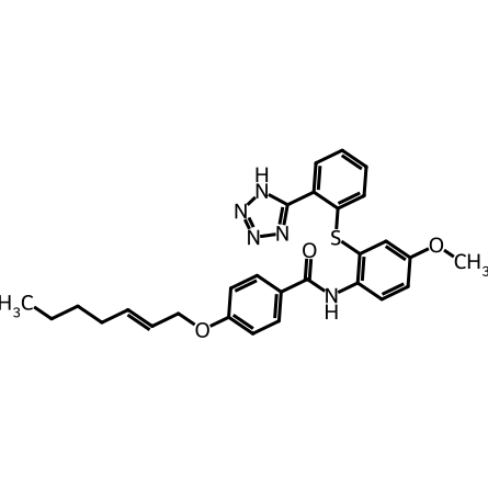 CCCC/C=C/COc1ccc(C(=O)Nc2ccc(OC)cc2Sc2ccccc2-c2nnn[nH]2)cc1